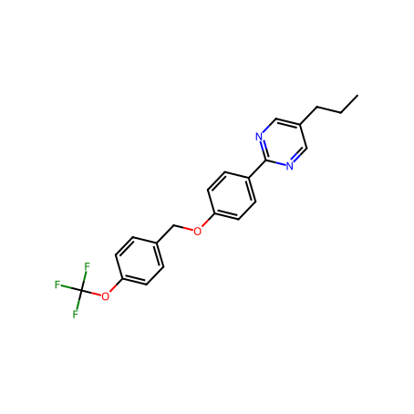 CCCc1cnc(-c2ccc(OCc3ccc(OC(F)(F)F)cc3)cc2)nc1